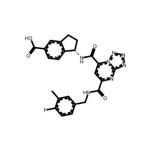 Cc1cc(CNC(=O)c2cc(C(=O)N[C@H]3CCc4cc(C(=O)O)ccc43)n3nnnc3n2)ccc1F